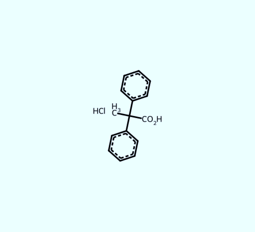 CC(C(=O)O)(c1ccccc1)c1ccccc1.Cl